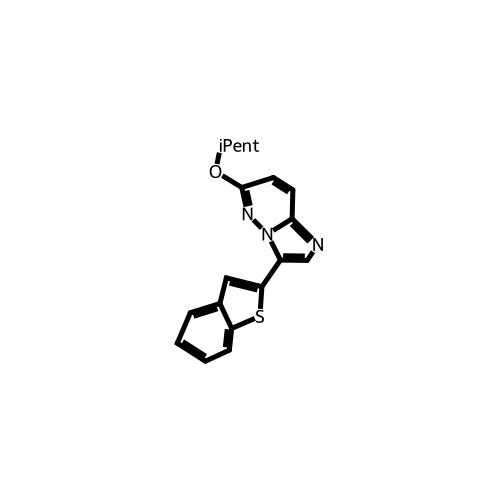 [CH2]CCC(C)Oc1ccc2ncc(-c3cc4ccccc4s3)n2n1